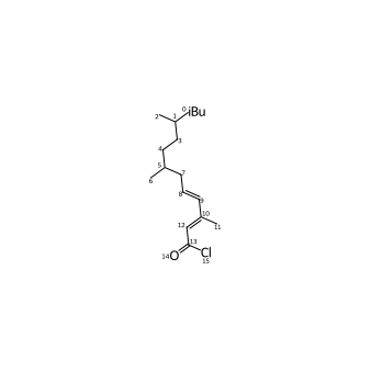 CCC(C)C(C)CCC(C)CC=CC(C)=CC(=O)Cl